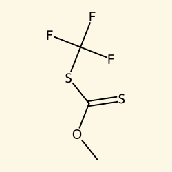 COC(=S)SC(F)(F)F